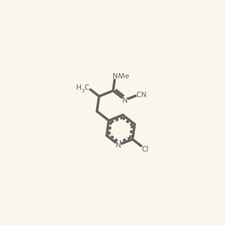 CNC(=NC#N)C(C)Cc1ccc(Cl)nc1